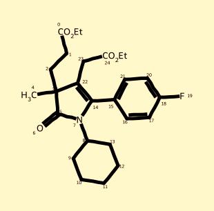 CCOC(=O)CCC1(C)C(=O)N(C2CCCCC2)C(c2ccc(F)cc2)=C1CC(=O)OCC